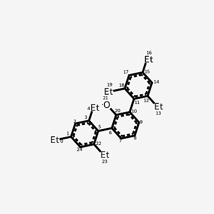 CCc1cc(CC)c(-c2cccc(-c3c(CC)cc(CC)cc3CC)c2[O])c(CC)c1